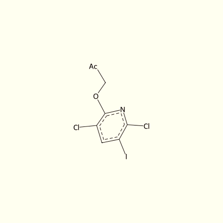 CC(=O)COc1nc(Cl)c(I)cc1Cl